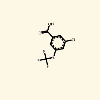 O=C(O)c1cc(Cl)cc(SC(F)(F)F)c1